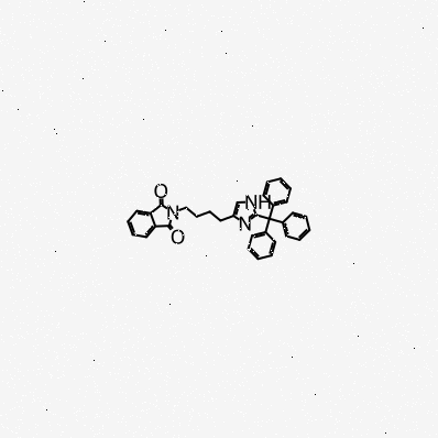 O=C1c2ccccc2C(=O)N1CCCCc1c[nH]c(C(c2ccccc2)(c2ccccc2)c2ccccc2)n1